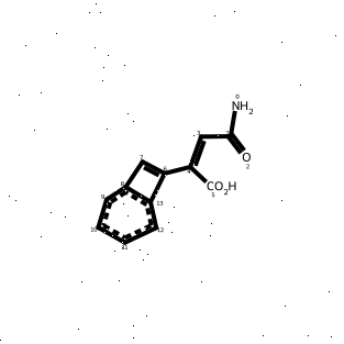 NC(=O)/C=C(\C(=O)O)C1=Cc2ccccc21